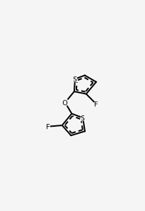 Fc1ccsc1Oc1sccc1F